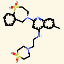 Cc1ccc2nc(N3CCS(=O)(=O)c4ccccc4C3)cc(NCCN3CCS(=O)(=O)CC3)c2c1